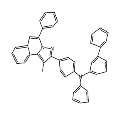 Cc1c(-c2ccc(N(c3ccccc3)c3cccc(-c4ccccc4)c3)cc2)nn2c(-c3ccccc3)cc3ccccc3c12